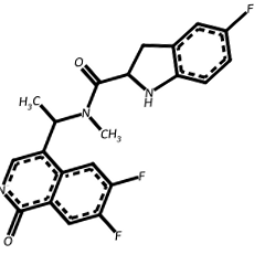 CC(c1c[nH]c(=O)c2cc(F)c(F)cc12)N(C)C(=O)C1Cc2cc(F)ccc2N1